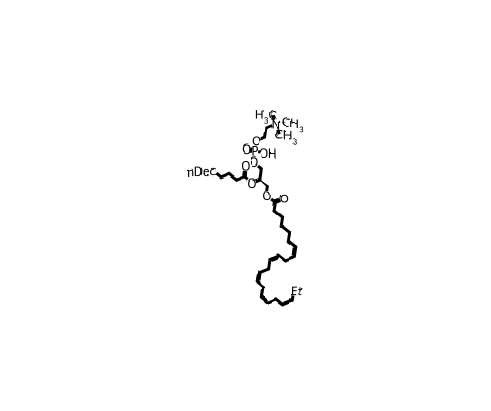 CC/C=C\C/C=C\C/C=C\C/C=C\C/C=C\CCCCCC(=O)OC[C@H](COP(=O)(O)OCC[N+](C)(C)C)OC(=O)CCCCCCCCCCCCC